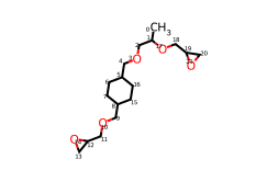 CC(COCC1CCC(COCC2CO2)CC1)OCC1CO1